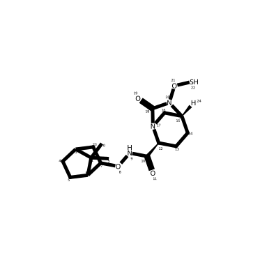 CC1(C)C2CCC1C(ONC(=O)[C@@H]1CC[C@@H]3CN1C(=O)N3OS)C2